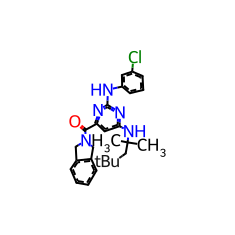 CC(C)(C)CC(C)(C)Nc1cc(C(=O)N2Cc3ccccc3C2)nc(Nc2cccc(Cl)c2)n1